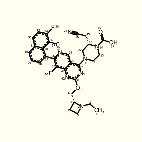 CCN1CC[C@@H]1COc1nc(N2CCN(C(=O)O)[C@@H](CC#N)C2)c2cnc(-c3cccc4ccc(F)c(Cl)c34)c(F)c2n1